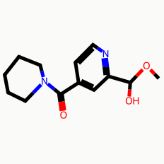 COC(O)c1cc(C(=O)N2CCCCC2)ccn1